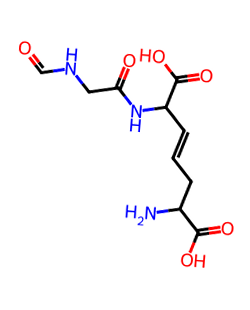 NC(CC=CC(NC(=O)CNC=O)C(=O)O)C(=O)O